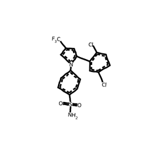 NS(=O)(=O)c1ccc(-n2cc(C(F)(F)F)cc2-c2cc(Cl)ccc2Cl)cc1